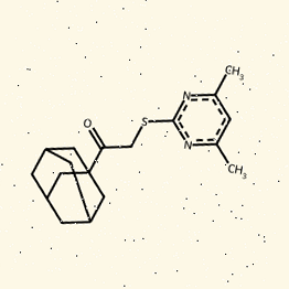 Cc1cc(C)nc(SCC(=O)C23CC4CC(CC(C4)C2)C3)n1